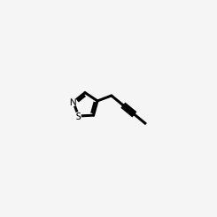 CC#CCc1cnsc1